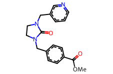 COC(=O)c1ccc(CN2CCN(Cc3cccnc3)C2=O)cc1